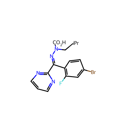 CC(C)CN(N=C(c1ncccn1)c1ccc(Br)cc1F)C(=O)O